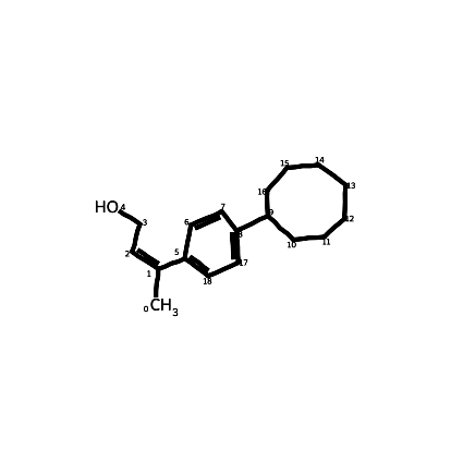 C/C(=C/CO)c1ccc(C2CCCCCCC2)cc1